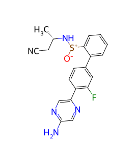 C[C@@H](CC#N)N[S+]([O-])c1ccccc1-c1ccc(-c2cnc(N)cn2)c(F)c1